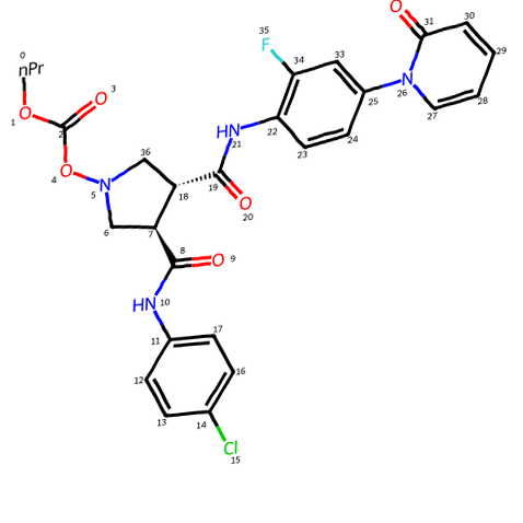 CCCOC(=O)ON1C[C@H](C(=O)Nc2ccc(Cl)cc2)[C@@H](C(=O)Nc2ccc(-n3ccccc3=O)cc2F)C1